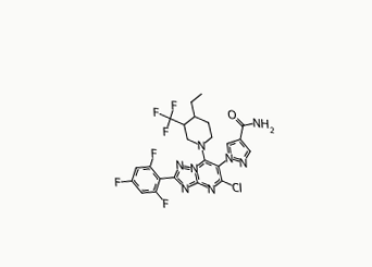 CCC1CCN(c2c(-n3cc(C(N)=O)cn3)c(Cl)nc3nc(-c4c(F)cc(F)cc4F)nn23)CC1C(F)(F)F